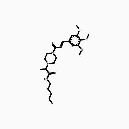 CCCCCNC(=O)C(C)N1CCN(C(=O)C=Cc2cc(OC)c(OC)c(OC)c2)CC1